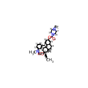 CC#C[C@@]1(O)CC[C@]2(Cc3cccc(N(C)C)c3)C3C=CC(OC(=O)N4CCN(C(C)=O)CC4)=CC3CC[C@H]2C1